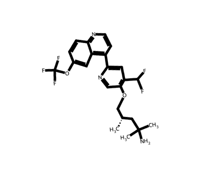 C[C@H](COc1cnc(-c2ccnc3ccc(OC(F)(F)F)cc23)cc1C(F)F)CC(C)(C)N